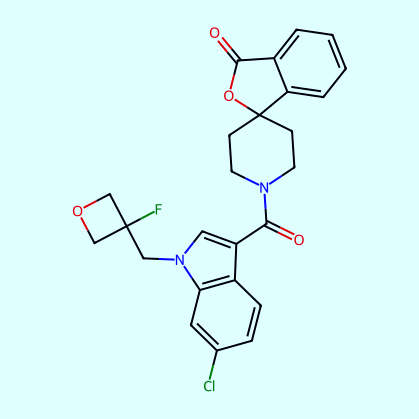 O=C1OC2(CCN(C(=O)c3cn(CC4(F)COC4)c4cc(Cl)ccc34)CC2)c2ccccc21